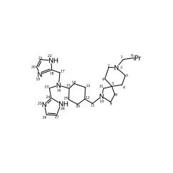 CC(C)CN1CCC2(CC1)CCN(CC1CCC(N(Cc3ncc[nH]3)Cc3ncc[nH]3)CC1)C2